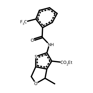 CCOC(=O)c1c(NC(=O)c2ccccc2C(F)(F)F)sc2c1C(C)OC2